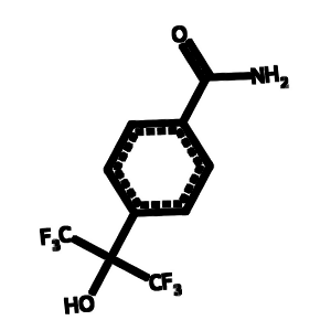 NC(=O)c1ccc(C(O)(C(F)(F)F)C(F)(F)F)cc1